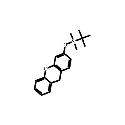 CC(C)(C)[Si](C)(C)Oc1ccc2c(c1)Oc1ccccc1C2